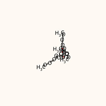 COCCOCCOCC(=O)OC1=CCC2(OC(=O)COCCOCCOC)[C@H]3Cc4ccc(OC)c5c4[C@@]2(CCN3C)[C@H]1O5